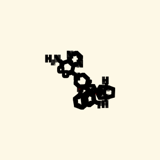 Cc1nc2ccccc2n1[C@H]1C[C@H]2CC[C@@H](C1)N2CCC1(c2cccc(F)c2)CCN(C(=O)c2nccnc2C(N)=O)CC1